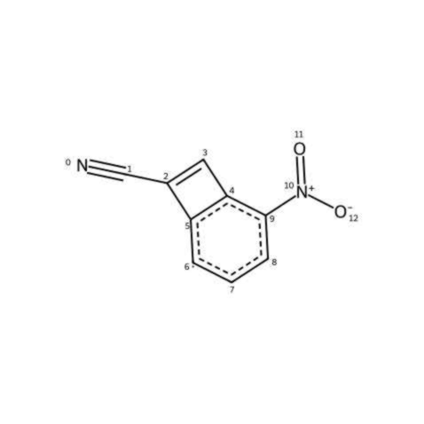 N#CC1=Cc2c1[c]ccc2[N+](=O)[O-]